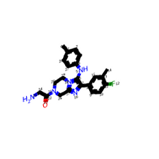 Cc1ccc(Nc2c(-c3ccc(F)c(C)c3)nc3n2CCN(C(=O)CN)C3)cc1